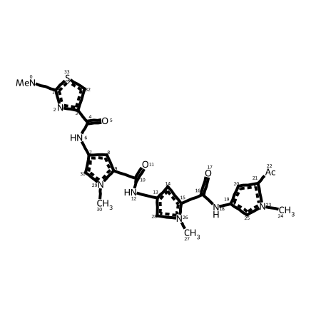 CNc1nc(C(=O)Nc2cc(C(=O)Nc3cc(C(=O)Nc4cc(C(C)=O)n(C)c4)n(C)c3)n(C)c2)cs1